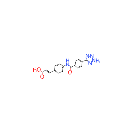 O=C(O)C=Cc1ccc(NC(=O)c2ccc(-c3nn[nH]n3)cc2)cc1